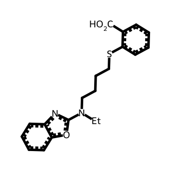 CCN(CCCCSc1ccccc1C(=O)O)c1nc2ccccc2o1